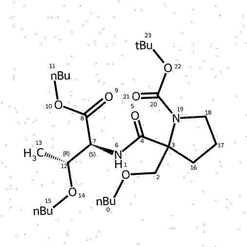 CCCCOCC1(C(=O)N[C@H](C(=O)OCCCC)[C@@H](C)OCCCC)CCCN1C(=O)OC(C)(C)C